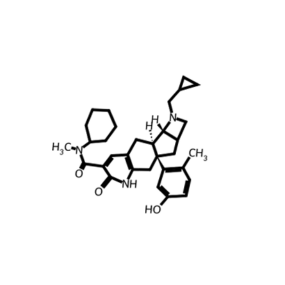 Cc1ccc(O)cc1[C@@]12Cc3[nH]c(=O)c(C(=O)N(C)C4CCCCC4)cc3C[C@H]1[C@H]1C(CN1CC1CC1)C2